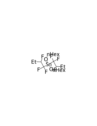 CCCCCC[O][Sn]([O]CCCCCC)([C](F)(F)C(F)CC)[C](F)(F)C(F)CC